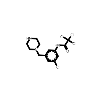 O=C(Nc1cc(Cl)cc(CN2CCNCC2)c1)C(Cl)(Cl)Cl